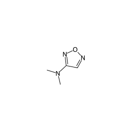 CN(C)c1cnon1